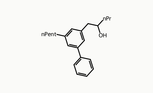 CCCCCc1cc(CC(O)CCC)cc(-c2ccccc2)c1